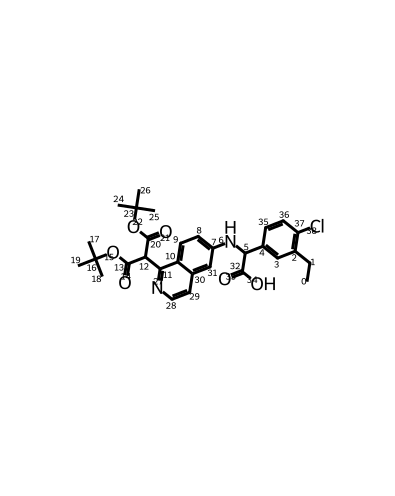 CCc1cc(C(Nc2ccc3c(C(C(=O)OC(C)(C)C)C(=O)OC(C)(C)C)nccc3c2)C(=O)O)ccc1Cl